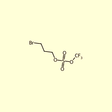 O=S(=O)(OCCCBr)OC(F)(F)F